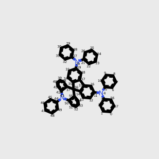 c1ccc(N(c2ccccc2)c2ccc3c(c2)-c2cc(N(c4ccccc4)c4ccccc4)ccc2C32c3ccccc3N(c3ccccc3)c3ccccc32)cc1